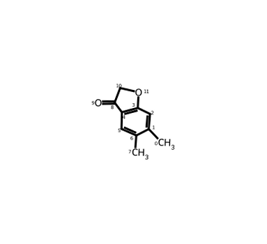 Cc1cc2c(cc1C)C(=O)CO2